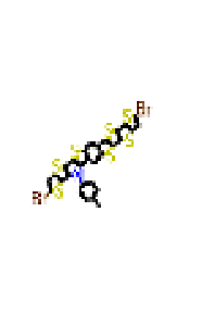 Cc1ccc(-n2c3c4cc5sc6c(sc7c8sc(Br)cc8sc76)c5cc4sc3c3sc4cc(Br)sc4c32)cc1